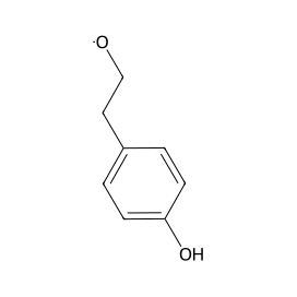 [O]CCc1ccc(O)cc1